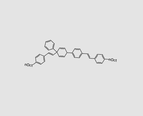 CCCCCCCCc1ccc(/C=C/c2ccc(C3C=CC(/C=C/c4ccc(CCCCCCCC)cc4)(c4ccccc4)C=C3)cc2)cc1